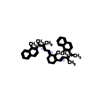 C/C(=C\C=C1/CCCC(/C=C/C(C)N(C)c2ccc3ccccc3c2C)=C1Cl)N(C)c1ccc2ccccc2c1C